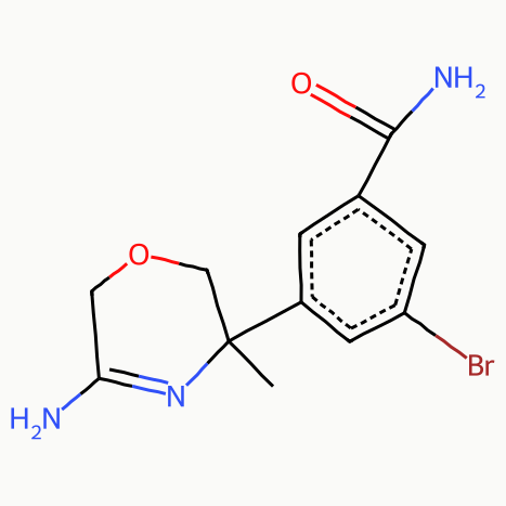 CC1(c2cc(Br)cc(C(N)=O)c2)COCC(N)=N1